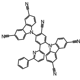 N#Cc1ccc2c(c1)c1cc(C#N)ccc1n2-c1cc(-c2cccc(-c3ccccc3)n2)c(-n2c3ccc(C#N)cc3c3cc(C#N)ccc32)cc1C#N